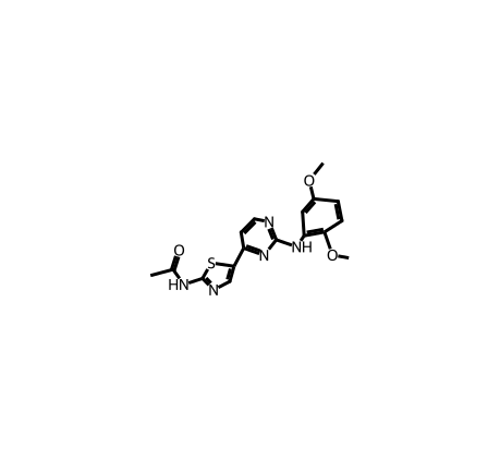 COc1ccc(OC)c(Nc2nccc(-c3cnc(NC(C)=O)s3)n2)c1